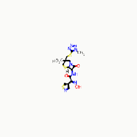 Cn1nnnc1SCC1(C(=O)O)CS[C@@H]2C(NC(=O)C(=NO)c3cnsc3)C(=O)N2C1